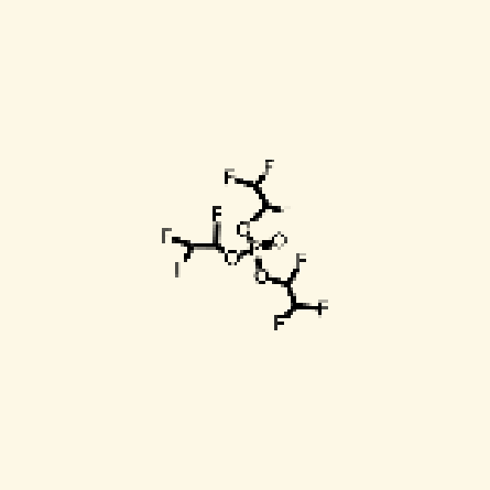 O=P(OC(F)C(F)F)(OC(F)C(F)F)OC(F)C(F)F